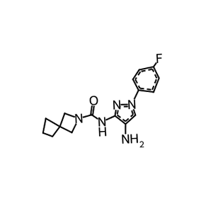 Nc1cn(-c2ccc(F)cc2)nc1NC(=O)N1CC2(CCC2)C1